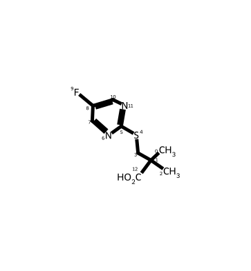 CC(C)(CSc1ncc(F)cn1)C(=O)O